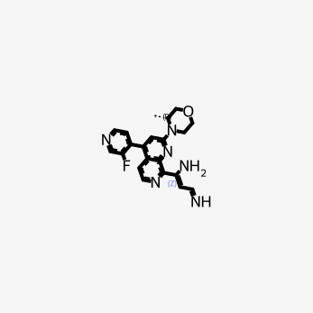 C[C@@H]1COCCN1c1cc(-c2ccncc2F)c2ccnc(/C(N)=C/C=N)c2n1